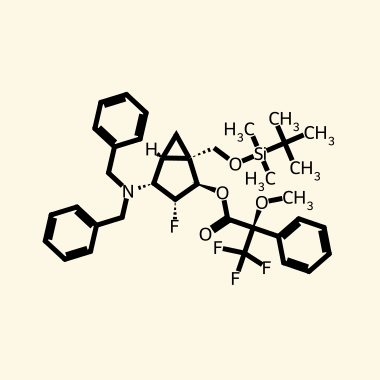 CO[C@@](C(=O)O[C@H]1[C@H](F)[C@H](N(Cc2ccccc2)Cc2ccccc2)[C@H]2C[C@]21CO[Si](C)(C)C(C)(C)C)(c1ccccc1)C(F)(F)F